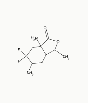 CC1OC(=O)C2(N)CC(F)(F)C(C)CC12